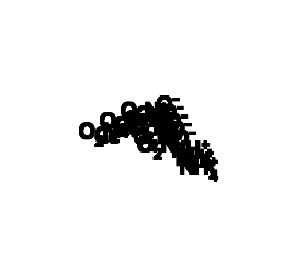 O=[N+]([O-])[O-].O=[N+]([O-])[O-].O=[N+]([O-])[O-].O=[N+]([O-])[O-].O=[N+]([O-])[O-].O=[N+]([O-])[O-].O=[N+]([O-])[O-].[Ce+4].[NH4+].[NH4+].[NH4+]